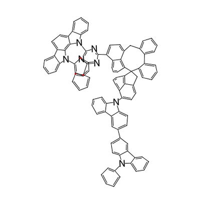 c1ccc(-c2nc(-c3ccc4c5c(cccc35)C3(Cc5ccc(-n6c7ccccc7c7cc(-c8ccc9c(c8)c8ccccc8n9-c8ccccc8)ccc76)c6cccc3c56)c3ccccc3-c3ccccc3C4)nc(-n3c4ccccc4c4ccc5c6ccccc6n(-c6ccccc6)c5c43)n2)cc1